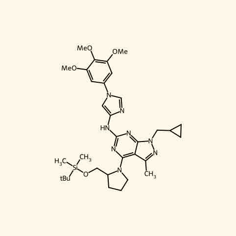 COc1cc(-n2cnc(Nc3nc(N4CCCC4CO[Si](C)(C)C(C)(C)C)c4c(C)nn(CC5CC5)c4n3)c2)cc(OC)c1OC